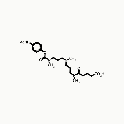 CC(=O)Nc1ccc(OC(=O)N(C)CCCN(C)CCCN(C)C(=O)CCCC(=O)O)cc1